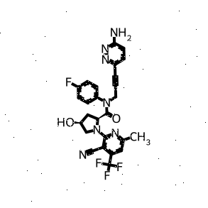 Cc1cc(C(F)(F)F)c(C#N)c(N2C[C@@H](O)C[C@H]2C(=O)N(CC#Cc2ccc(N)nn2)c2ccc(F)cc2)n1